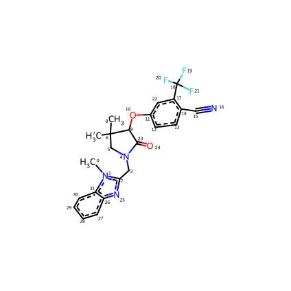 Cn1c(CN2CC(C)(C)C(Oc3ccc(C#N)c(C(F)(F)F)c3)C2=O)nc2ccccc21